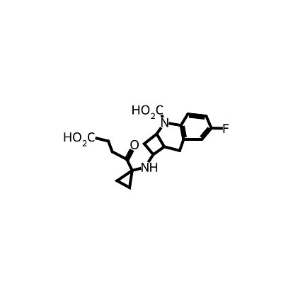 O=C(O)CCC(=O)C1(NC2CC3C2Cc2cc(F)ccc2N3C(=O)O)CC1